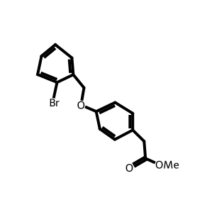 COC(=O)Cc1ccc(OCc2ccccc2Br)cc1